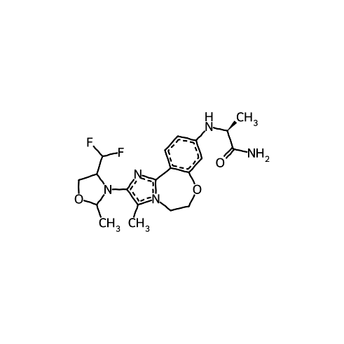 Cc1c(N2C(C)OCC2C(F)F)nc2n1CCOc1cc(N[C@@H](C)C(N)=O)ccc1-2